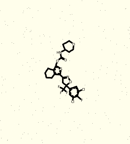 O=C(NC1CCOCC1)Oc1sc(C2=NOC(c3cc(Cl)c(F)c(Cl)c3)(C(F)(F)F)C2)c2c1CCCC2